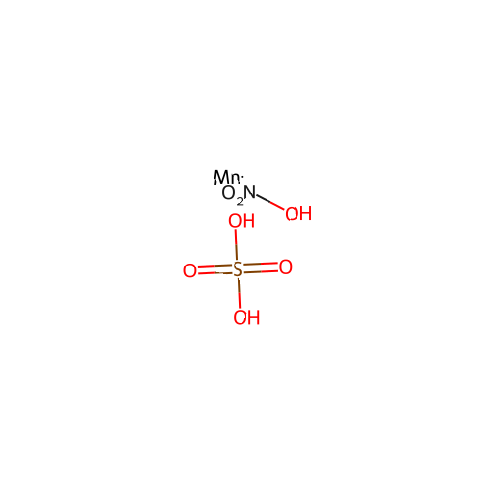 O=S(=O)(O)O.O=[N+]([O-])O.[Mn]